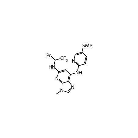 CSc1ccc(Nc2cc(NC(C(C)C)C(F)(F)F)nc3c2ncn3C)nc1